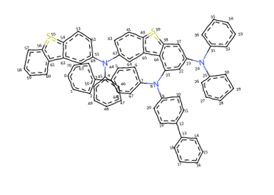 c1ccc(-c2ccc(N(c3ccc(-c4ccccc4)cc3)c3cc(N(c4ccccc4)c4ccccc4)cc4sc5ccc(N(c6ccccc6)c6ccc7sc8ccccc8c7c6)cc5c34)cc2)cc1